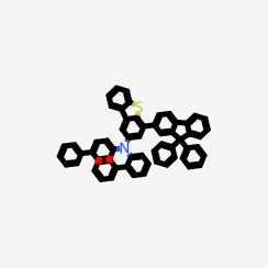 c1ccc(-c2ccc(N(c3cc(-c4ccc5c(c4)C(c4ccccc4)(c4ccccc4)c4ccccc4-5)c4sc5ccccc5c4c3)c3ccccc3-c3ccccc3)cc2)cc1